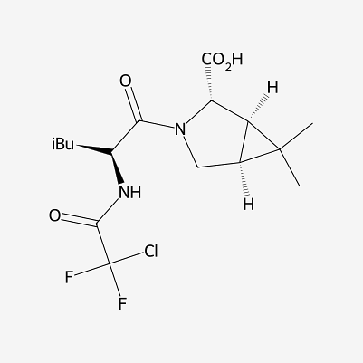 CC[C@H](C)[C@H](NC(=O)C(F)(F)Cl)C(=O)N1C[C@H]2[C@@H]([C@H]1C(=O)O)C2(C)C